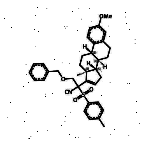 [C-]#[N+]C(COCc1ccccc1)(C1=CC[C@H]2[C@@H]3CCc4cc(OC)ccc4[C@H]3CC[C@]12C)S(=O)(=O)c1ccc(C)cc1